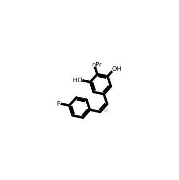 CCCc1c(O)cc(/C=C\c2ccc(F)cc2)cc1O